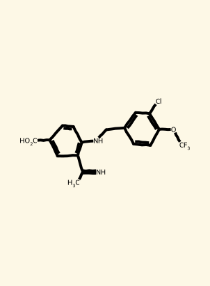 CC(=N)c1cc(C(=O)O)ccc1NCc1ccc(OC(F)(F)F)c(Cl)c1